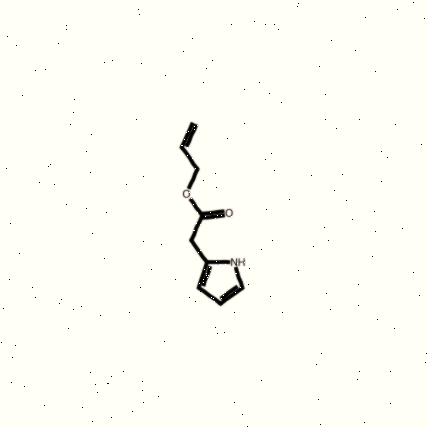 C=CCOC(=O)Cc1ccc[nH]1